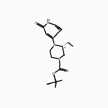 CC[C@@H]1CN(C(=O)OC(C)(C)C)CCN1c1cc[nH]c(=O)c1